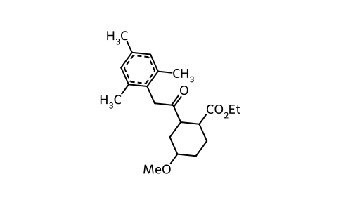 CCOC(=O)C1CCC(OC)CC1C(=O)Cc1c(C)cc(C)cc1C